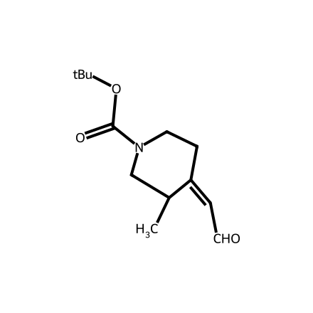 CC1CN(C(=O)OC(C)(C)C)CC/C1=C/C=O